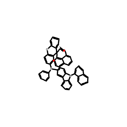 c1ccc(N(c2ccc3c(c2)C2(c4ccccc4O3)c3ccccc3-c3cccc4cccc2c34)c2ccc3c(c2)c2ccccc2n3-c2cccc3ccccc23)cc1